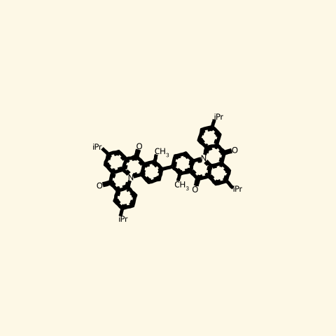 Cc1c(-c2ccc3c(c2C)c(=O)c2cc(C(C)C)cc4c(=O)c5cc(C(C)C)ccc5n3c42)ccc2c1c(=O)c1cc(C(C)C)cc3c(=O)c4cc(C(C)C)ccc4n2c31